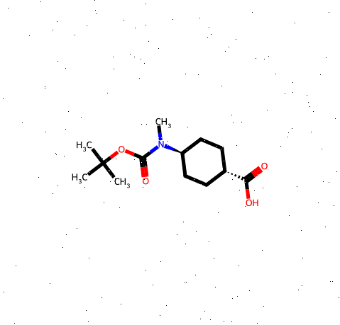 CN(C(=O)OC(C)(C)C)[C@H]1CC[C@H](C(=O)O)CC1